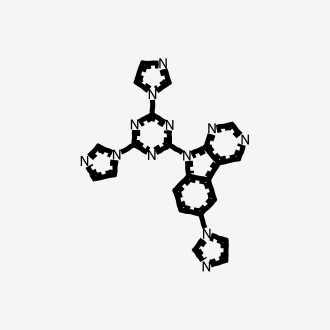 c1cn(-c2ccc3c(c2)c2cncnc2n3-c2nc(-n3ccnc3)nc(-n3ccnc3)n2)cn1